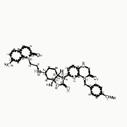 COc1ccc(CN2C(=O)COc3ccc(N4C(=O)O[C@@H]5C[C@@H](NCCn6c(=O)ccc7ccc(C#N)cc76)CC[C@@H]54)nc32)cc1